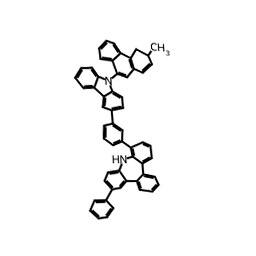 CC1C=Cc2cc(-n3c4ccccc4c4cc(-c5cccc(-c6cccc7c6Nc6ccc(-c8ccccc8)cc6-c6ccccc6-7)c5)ccc43)c3ccccc3c2C1